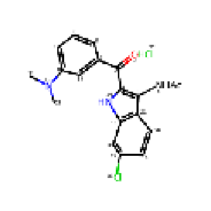 CC(=O)Nc1c(C(=O)c2cccc(N(C)C)c2)[nH]c2cc(Cl)ccc12.Cl